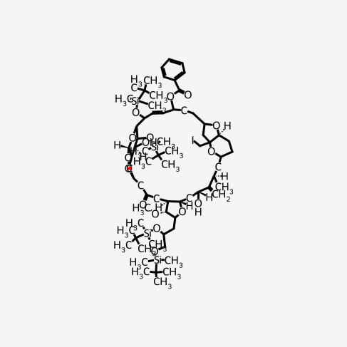 C=C1[C@H](C)CC2CC[C@@H]3OC(CCC(OC(=O)c4ccccc4)/C=C/C(O[Si](C)(C)C(C)(C)C)C4O[C@H]5CCC(CC(=O)C[C@H]6[C@H](C[C@H]1O)OC(CC(CO[Si](C)(C)C(C)(C)C)O[Si](C)(C)C(C)(C)C)[C@@H]6OC)OC5[C@H](O)C4O[Si](C)(C)C(C)(C)C)CC3(CI)O2